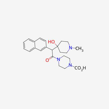 CN1CCC(O)(C(C(=O)N2CCN(C(=O)O)CC2)c2ccc3ccccc3c2)CC1